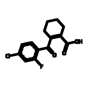 O=C(O)C1=C(C(=O)c2ccc(Cl)cc2F)CCCC1